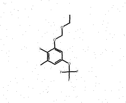 CCOCOc1cc(OC(F)(F)F)cc(C)c1I